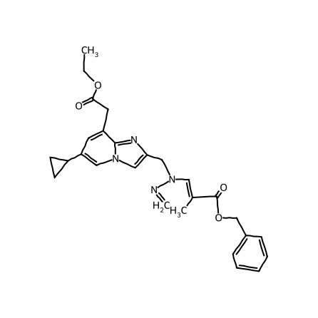 C=NN(/C=C(\C)C(=O)OCc1ccccc1)Cc1cn2cc(C3CC3)cc(CC(=O)OCC)c2n1